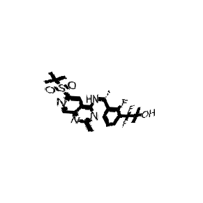 Cc1nc(N[C@H](C)c2cccc(C(F)(F)C(C)(C)O)c2F)c2cc(S(=O)(=O)C(C)(C)C)ncc2n1